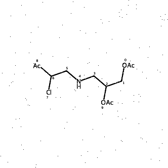 CC(=O)OCC(CNCC(Cl)C(C)=O)OC(C)=O